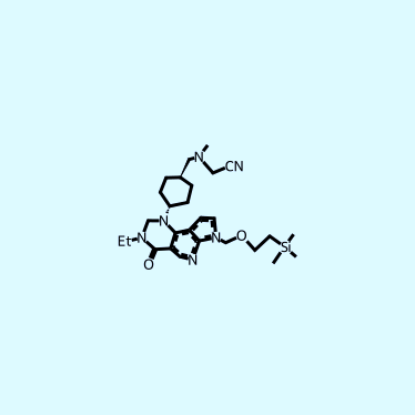 CCN1CN([C@H]2CC[C@H](CN(C)CC#N)CC2)c2c(cnc3c2ccn3COCC[Si](C)(C)C)C1=O